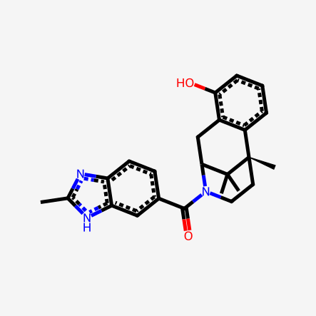 Cc1nc2ccc(C(=O)N3CC[C@@]4(C)c5cccc(O)c5CC3C4(C)C)cc2[nH]1